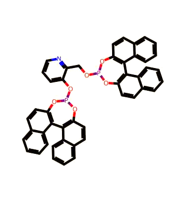 c1cnc(COp2oc3ccc4ccccc4c3c3c(ccc4ccccc43)o2)c(Op2oc3ccc4ccccc4c3c3c(ccc4ccccc43)o2)c1